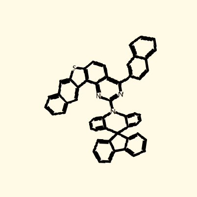 c1ccc2c(c1)-c1ccccc1C21c2ccccc2N(c2nc(-c3ccc4ccccc4c3)c3ccc4sc5cc6ccccc6cc5c4c3n2)c2ccccc21